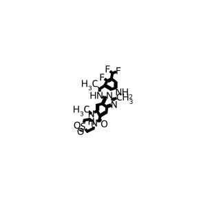 CNc1cc2c(N[C@H](C)c3cc(N)cc(C(F)F)c3F)nc(C)nc2cc1C(=O)N1CCS(=O)(=O)CC1